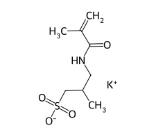 C=C(C)C(=O)NCC(C)CS(=O)(=O)[O-].[K+]